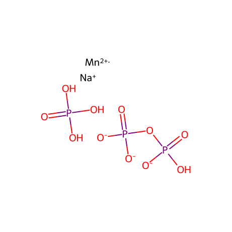 O=P(O)(O)O.O=P([O-])([O-])OP(=O)([O-])O.[Mn+2].[Na+]